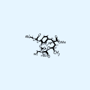 CCC(C)COC(=O)Oc1ccc(C[C@](N)(CC(C)OC(=O)CC(C)CC)C(=O)OC)cc1OC(=O)OCC(C)CC